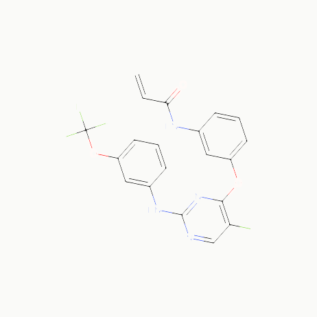 C=CC(=O)Nc1cccc(Oc2nc(Nc3cccc(OC(F)(F)F)c3)ncc2F)c1